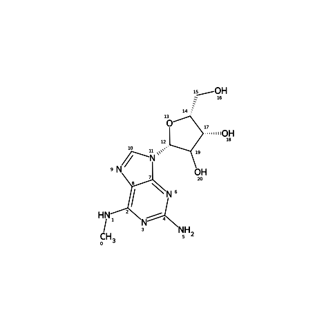 CNc1nc(N)nc2c1ncn2[C@@H]1O[C@H](CO)[C@H](O)C1O